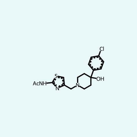 CC(=O)Nc1nc(CN2CCC(O)(c3ccc(Cl)cc3)CC2)cs1